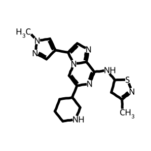 CC1=NSC(Nc2nc(C3CCCNC3)cn3c(-c4cnn(C)c4)cnc23)C1